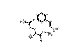 NOC(=O)[C@@H](N)CCC(N)=O.O=C/C=C/c1ccccc1